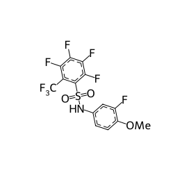 COc1ccc(NS(=O)(=O)c2c(F)c(F)c(F)c(F)c2C(F)(F)F)cc1F